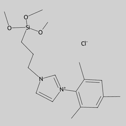 CO[Si](CCCn1cc[n+](-c2c(C)cc(C)cc2C)c1)(OC)OC.[Cl-]